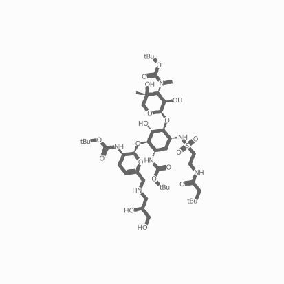 CN(C(=O)OC(C)(C)C)[C@@H]1[C@@H](O)[C@@H](O[C@@H]2[C@@H](O)[C@H](O[C@H]3OC(CNCC(O)CO)=CC[C@H]3NC(=O)OC(C)(C)C)[C@@H](NC(=O)OC(C)(C)C)C[C@H]2NS(=O)(=O)CCNC(=O)CC(C)(C)C)OC[C@]1(C)O